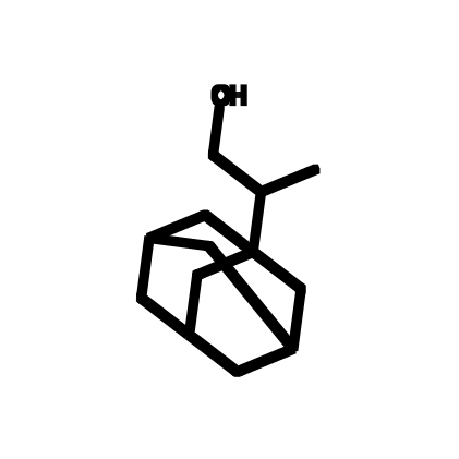 CC(CO)C12CC3CC(CC(C3)C1)C2